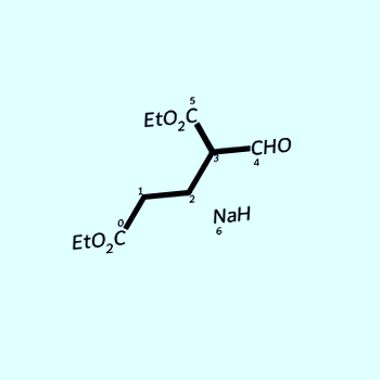 CCOC(=O)CCC(C=O)C(=O)OCC.[NaH]